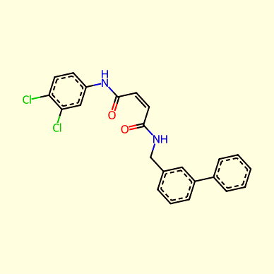 O=C(/C=C\C(=O)Nc1ccc(Cl)c(Cl)c1)NCc1cccc(-c2ccccc2)c1